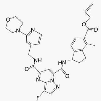 C=CCOC(=O)c1ccc2c(c1C)CC[C@@H]2NC(=O)c1cc(C(=O)NCc2ccnc(N3CCOCC3)c2)nc2c(F)cnn12